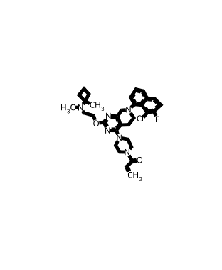 C=CC(=O)N1CCN(c2nc(OCCN(C)C3(C)CCC3)nc3c2CCN(c2cccc4ccc(F)c(Cl)c24)C3)CC1